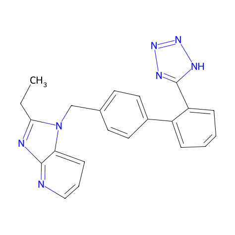 CCc1nc2ncccc2n1Cc1ccc(-c2ccccc2-c2nnn[nH]2)cc1